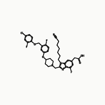 N#CCCCCCCn1c(CN2CCC(Oc3ccc(F)c(COc4ccc(Cl)cc4F)c3)CC2)nc2c(F)cc(CC(=O)O)cc21